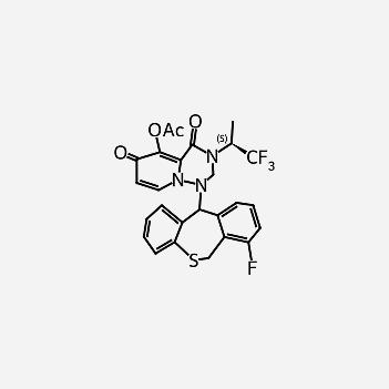 CC(=O)Oc1c2n(ccc1=O)N(C1c3ccccc3SCc3c(F)cccc31)CN([C@@H](C)C(F)(F)F)C2=O